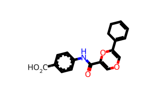 O=C(Nc1ccc(C(=O)O)cc1)C1=COC=C(C2=CC=CCC2)O1